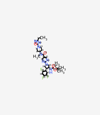 CCc1noc(N2CCC(N(C)C(=O)c3cnc(N4C[C@H](NC(=O)OC(C)(C)C)[C@@H](c5cc(F)c(F)cc5F)C4)nc3)CC2)n1